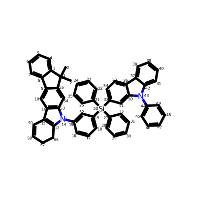 CC1(C)c2ccccc2-c2cc3c4c(n(-c5cccc([Si](c6ccccc6)(c6ccccc6)c6ccc7c8ccccc8n(-c8ccccc8)c7c6)c5)c3cc21)CCC=C4